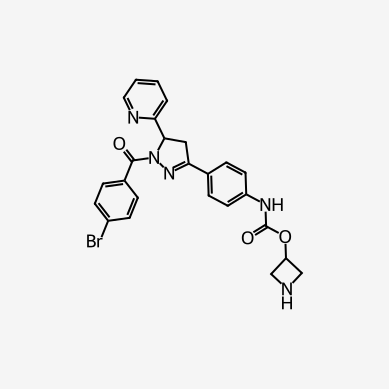 O=C(Nc1ccc(C2=NN(C(=O)c3ccc(Br)cc3)C(c3ccccn3)C2)cc1)OC1CNC1